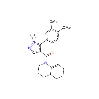 COc1ccc(-c2c(C(=O)N3CCCC4CCCC=C43)cnn2C)cc1OC